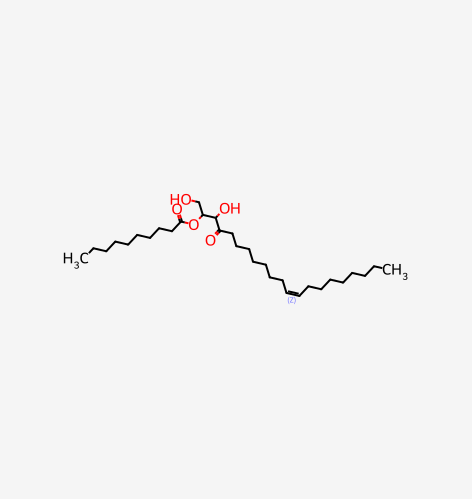 CCCCCCCC/C=C\CCCCCCCC(=O)C(O)C(CO)OC(=O)CCCCCCCCC